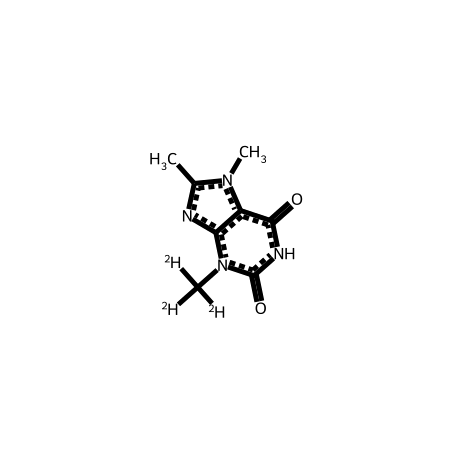 [2H]C([2H])([2H])n1c(=O)[nH]c(=O)c2c1nc(C)n2C